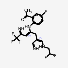 CC(=O)c1cc(F)ccc1N/C(=C\C(=N)C(F)(F)F)C/C(C=N)=C/NCC(F)F